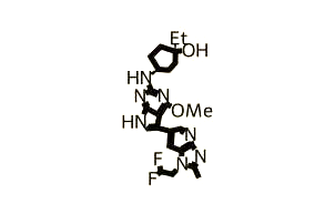 CC[C@]1(O)CC[C@@H](Nc2nc(OC)c3c(-c4cnc5nc(C)n(CC(F)F)c5c4)c[nH]c3n2)CC1